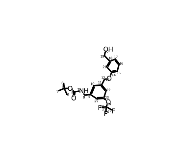 CC(C)(C)OC(=O)NCc1cc(COc2cccc(CO)c2)cc(OC(F)(F)F)c1